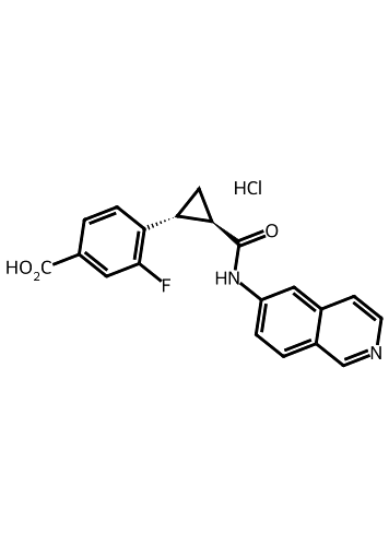 Cl.O=C(O)c1ccc([C@@H]2C[C@H]2C(=O)Nc2ccc3cnccc3c2)c(F)c1